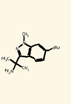 Cn1nc(C(C)(C)N)c2ccc(C(C)(C)C)cc21